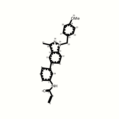 C=CC(=O)Nc1cccc(-c2ccc3c(c2)c(C)nn3Cc2ccc(OC)cc2)c1